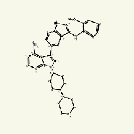 COc1ccccc1Nc1n[nH]c2ccc(-c3nn([C@H]4CC[C@H](N5CCOCC5)CC4)c4ncnc(N)c34)cc12